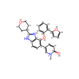 Cn1cc(-c2ccc3[nH]c(C4CCOCC4)nc3c2Oc2ccccc2-c2ccco2)ccc1=O